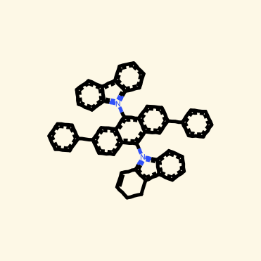 C1=Cc2c(c3ccccc3n2-c2c3cc(-c4ccccc4)ccc3c(-n3c4ccccc4c4ccccc43)c3cc(-c4ccccc4)ccc23)CC1